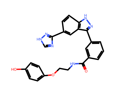 O=C(NCCOc1ccc(O)cc1)c1cccc(-c2n[nH]c3ccc(-c4nc[nH]n4)cc23)c1